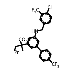 CC(C)CC(C)(C(=O)O)c1cc(NCc2ccc(Cl)c(C(F)(F)F)c2)cc(-c2ccc(C(F)(F)F)cc2)c1